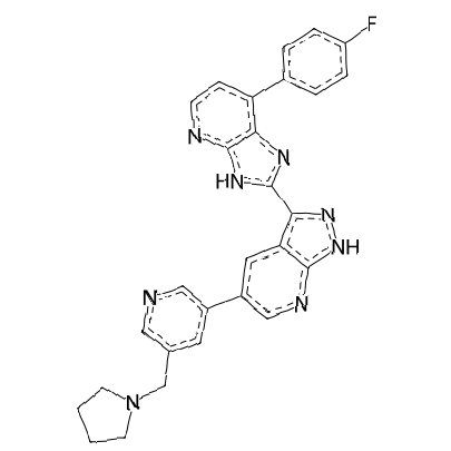 Fc1ccc(-c2ccnc3[nH]c(-c4n[nH]c5ncc(-c6cncc(CN7CCCC7)c6)cc45)nc23)cc1